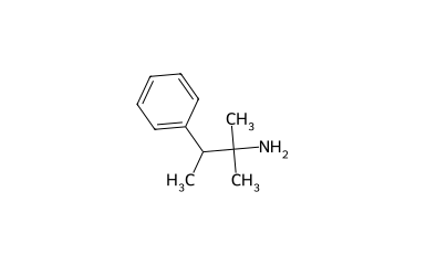 CC(c1ccccc1)C(C)(C)N